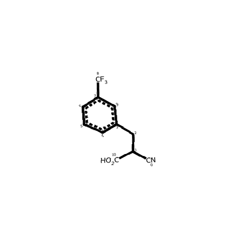 N#CC(Cc1cccc(C(F)(F)F)c1)C(=O)O